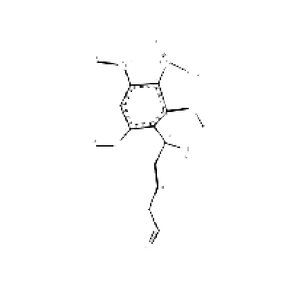 COc1cc(OC)c([N+](=O)[O-])c(OC)c1C(Cl)CCCC=O